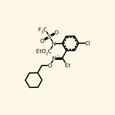 CCOC(=O)N(c1ccc(Cl)cc1/C(CC)=N/OCC1CCCCC1)S(=O)(=O)C(F)(F)F